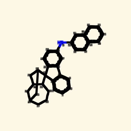 c1ccc2c(c1)-c1cc(Nc3ccc4ccccc4c3)ccc1C21C2CC3CCCC1C(C3)C2